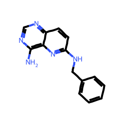 Nc1ncnc2ccc(NCc3ccccc3)nc12